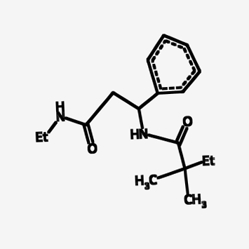 CCNC(=O)CC(NC(=O)C(C)(C)CC)c1ccccc1